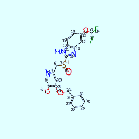 COc1cnc(C[S+]([O-])c2nc3cc(OC(F)F)ccc3[nH]2)cc1OCc1ccccc1